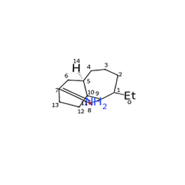 CCC1CCC[C@@H]2CC3=CC1C2(N)CC3